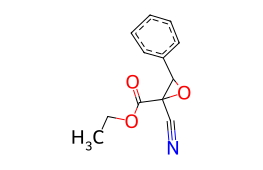 CCOC(=O)C1(C#N)OC1c1ccccc1